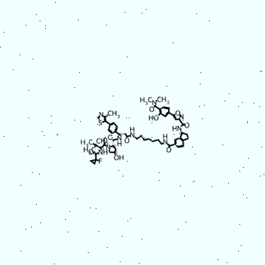 Cc1ncsc1-c1ccc([C@H](CC(=O)NCCCCCCCNC(=O)c2ccc3c(c2)[C@H](NC(=O)c2cc(-c4ccc(C(=O)N(C)C)c(O)c4)on2)CC3)NC(=O)[C@@H]2C[C@@H](O)CN2C(=O)[C@@H](NC(=O)C2(F)CC2)C(C)(C)C)cc1